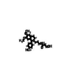 COc1cc2c(cc1OC)C(c1ccccc1)N(CCCNC(=O)C=NO)CC2.Cl